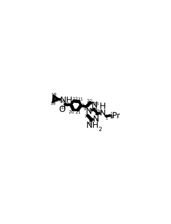 CC(C)CNc1nc(N)cn2c(-c3ccc(C(=O)NC4CC4)cc3)cnc12